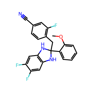 COc1ccccc1C1(Cc2ccc(C#N)cc2F)Nc2cc(F)c(F)cc2N1